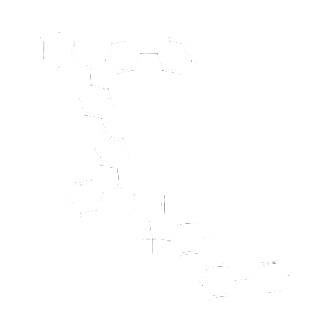 CC1(C)c2cc(-c3nccc(-c4ccccc4)n3)ccc2-c2ccc(-n3c4ccccc4c4cc(-c5ccc6c(c5)c5c7oc8ccccc8c7ccc5n6-c5ccccc5)ccc43)cc21